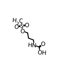 CS(=O)(=O)OCCCNC(=O)O